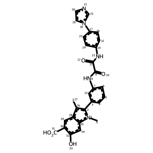 Cn1c(-c2cccc(NC(=O)C(=O)Nc3ccc(-n4ccnc4)cc3)c2)c(I)c2cc(C(=O)O)c(O)cc21